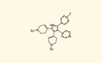 CC(=O)N1CC=C(c2[nH]c(-c3ccc(F)cc3)c(-c3ccncc3)c2C2=CCN(C(C)=O)CC2)CC1